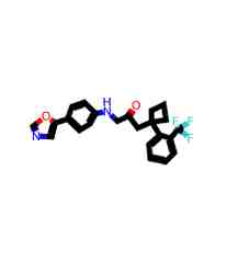 O=C(CNc1ccc(-c2cnco2)cc1)CC1(c2ccccc2C(F)(F)F)CCC1